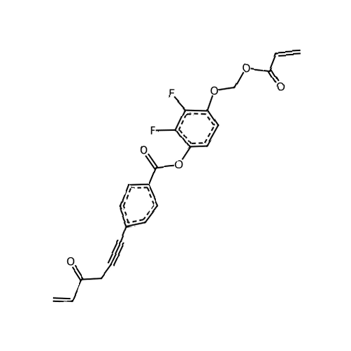 C=CC(=O)CC#Cc1ccc(C(=O)Oc2ccc(OCOC(=O)C=C)c(F)c2F)cc1